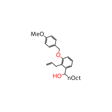 C=CCc1c(OCc2ccc(OC)cc2)cccc1C(O)CCCCCCCC